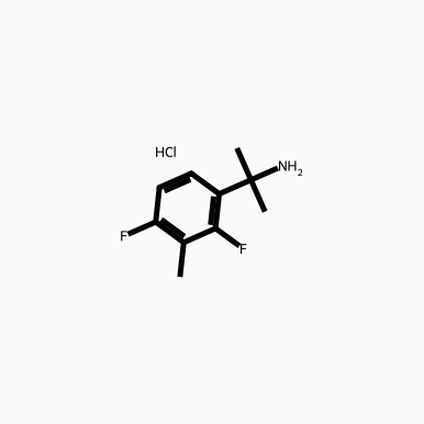 Cc1c(F)ccc(C(C)(C)N)c1F.Cl